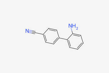 N#Cc1ccc(-c2ccccc2N)cc1